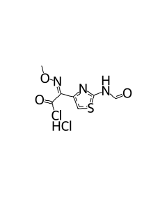 CO/N=C(\C(=O)Cl)c1csc(NC=O)n1.Cl